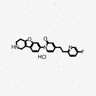 Cl.O=c1cc(CCc2ccc(F)cn2)ccn1-c1ccc2c3c(oc2c1)CCNC3